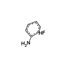 F.Nc1ccccc1